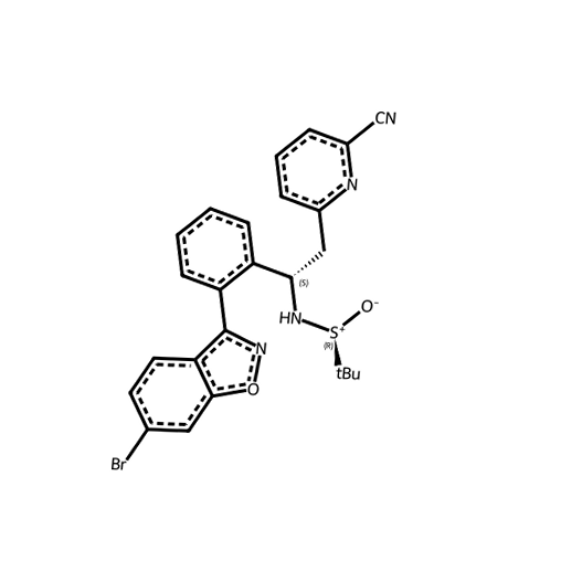 CC(C)(C)[S@+]([O-])N[C@@H](Cc1cccc(C#N)n1)c1ccccc1-c1noc2cc(Br)ccc12